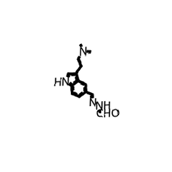 CN(C)CCc1c[nH]c2ccc(C=NNC=O)cc12